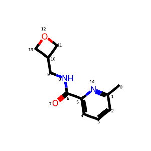 Cc1cccc(C(=O)NCC2COC2)n1